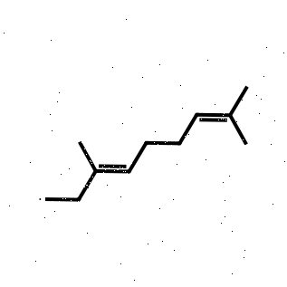 [CH2]C/C(C)=C/CCC=C(C)C